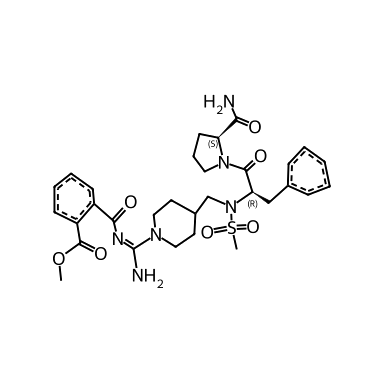 COC(=O)c1ccccc1C(=O)N=C(N)N1CCC(CN([C@H](Cc2ccccc2)C(=O)N2CCC[C@H]2C(N)=O)S(C)(=O)=O)CC1